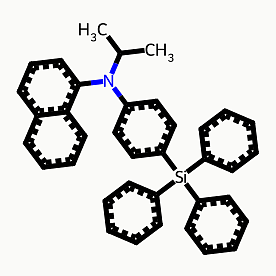 CC(C)N(c1ccc([Si](c2ccccc2)(c2ccccc2)c2ccccc2)cc1)c1cccc2ccccc12